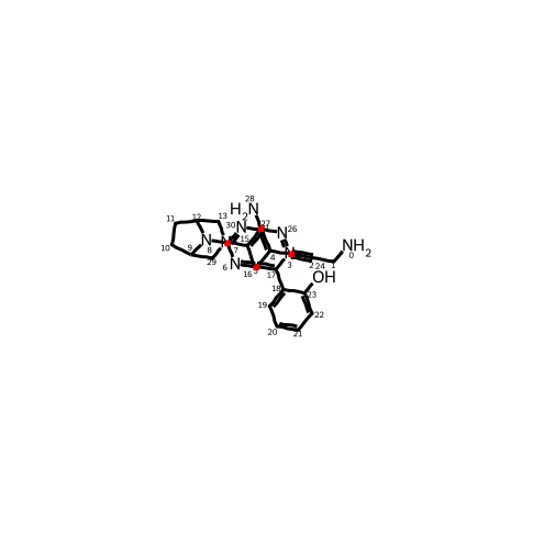 NCC#Cc1cnc(N2C3CCC2CN(c2cc(-c4ccccc4O)nnc2N)C3)nc1